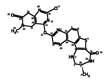 C[C@@H]1CNc2c(sc3ccc4nc(Oc5nc(Cl)nc6c5CN(C)C(=O)C6)cnc4c23)C(=O)N1